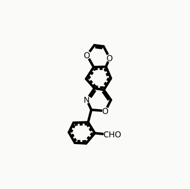 O=Cc1ccccc1C1N=c2cc3c(cc2=CO1)OC=CO3